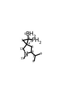 BC1(P)CC12CC(C(C)C)N(C)C2